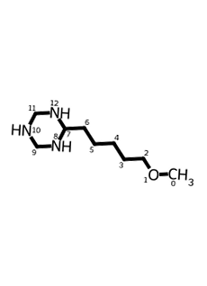 COCCCCCC1NCNCN1